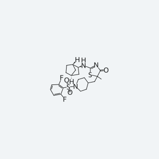 CC1(CC2CCN(S(=O)(=O)c3c(F)cccc3F)CC2)SC(N[C@H]2C[C@H]3CC[C@H]2C3)=NC1=O